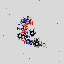 CC[C@H](NC(=O)[C@H](CC(C)C)NC(=O)[C@@H](NC(=O)[C@H](Cc1ccccc1C)NC(=O)C(NC(=O)[C@H](Cc1cn(-c2ccc([N+](=O)[O-])cc2[N+](=O)[O-])cn1)NC(C)=O)C1CCCCC1)C(C)(C)C)B(O)O